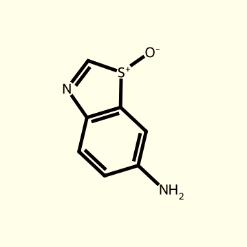 Nc1ccc2nc[s+]([O-])c2c1